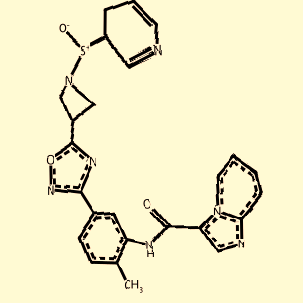 Cc1ccc(-c2noc(C3CN([S+]([O-])C4C=NC=CC4)C3)n2)cc1NC(=O)c1cnc2ccccn12